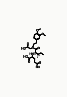 CC[C@H](C)[C@H](NC(CCC(=O)O)C(=O)O)C(=O)N(CCc1ccc(OC)c(OC)c1)CC(=O)O